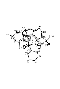 Cc1cc(C)c(C(=O)P(=O)(C(=O)c2c(C(F)(F)F)cccc2C(F)(F)F)C2CCCCC2)c(C)c1